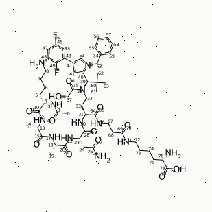 CC(=O)N[C@@H](CCCCN)C(=O)N[C@@H](C)C(=O)N[C@@H](C)C(=O)N[C@@H](CC(N)=O)C(=O)N[C@@H](CCN(C(=O)CO)[C@@H](c1cc(-c2cc(F)ccc2F)cn1Cc1ccccc1)C(C)(C)C)C(=O)NCCC(=O)NCCCC[C@H](N)C(=O)O